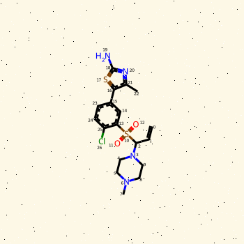 C=CC(N1CCN(C)CC1)S(=O)(=O)c1cc(-c2sc(N)nc2C)ccc1Cl